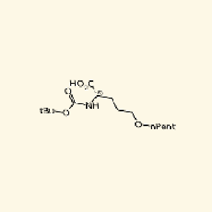 CCCCCOCCC[C@H](NC(=O)OC(C)(C)C)C(=O)O